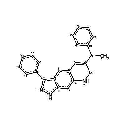 CC(C1=Cc2cc3c(-c4ccncc4)n[nH]c3cc2NC1)c1ccccc1